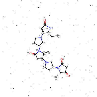 CC[C@H](C)C1C(=O)CC(=O)N1[C@H]1CCN(C2=CC(=O)N([C@H]3CCN(C4=CC(=O)N[C@H]4CC(C)C)C3)[C@H]2C)C1